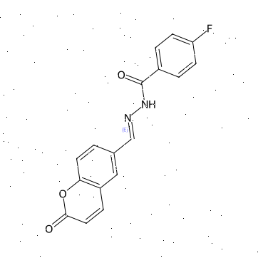 O=C(N/N=C/c1ccc2oc(=O)ccc2c1)c1ccc(F)cc1